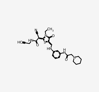 C#CCNC(=O)C(C#N)=c1sc(=CNc2cccc(NC(=O)CN3CCCCC3)c2)c(=O)n1CC